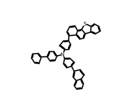 c1ccc(-c2ccc(N(c3ccc(-c4ccc5ccccc5c4)cc3)c3ccc(-c4cccc5c4ccc4c6ccccc6sc54)cc3)cc2)cc1